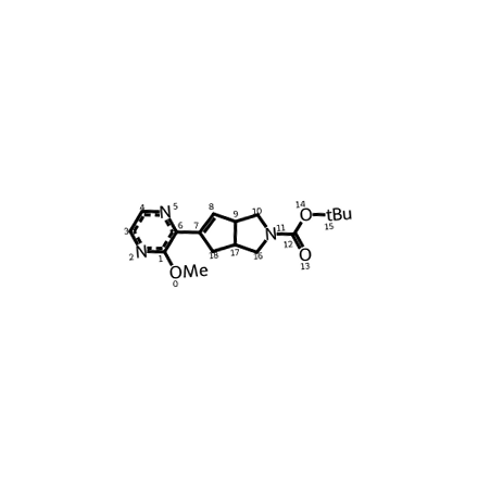 COc1nccnc1C1=CC2CN(C(=O)OC(C)(C)C)CC2C1